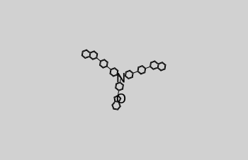 c1ccc2cc(-c3ccc(-c4ccc(N(c5ccc(-c6ccc(-c7ccc8ccccc8c7)cc6)cc5)c5ccc(-c6cc7ccccc7o6)cc5)cc4)cc3)ccc2c1